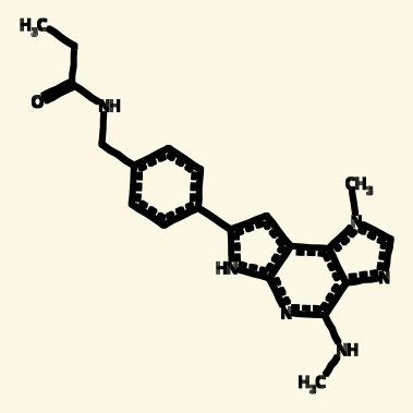 CCC(=O)NCc1ccc(-c2cc3c(nc(NC)c4ncn(C)c43)[nH]2)cc1